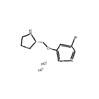 Brc1cncc(OC[C@@H]2CCCN2)c1.Cl.Cl